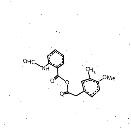 COc1ccc(CC(=O)OC(=O)c2ccccc2NC=O)cc1C